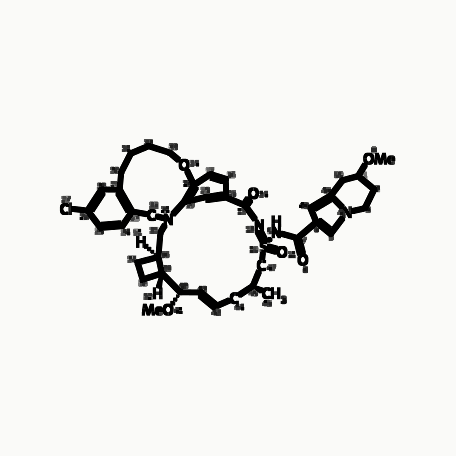 COC1CCn2cc(C(=O)N[S@@]3(=O)=NC(=O)c4ccc5c(c4)N(Cc4ccc(Cl)cc4CCCCO5)C[C@@H]4CC[C@H]4[C@@H](OC)/C=C/C[C@H](C)C3)cc2C1